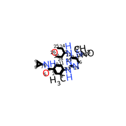 Cc1cc(C(=O)NC2CC2)ccc1Nc1ncc(N(C)N=O)c(NC2CCOCC2)n1